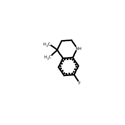 CC1(C)CCNc2cc(F)ccc21